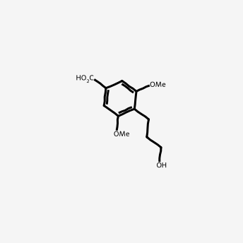 COc1cc(C(=O)O)cc(OC)c1CCCO